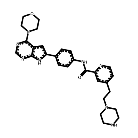 O=C(Nc1ccc(-c2cc3c(N4CCOCC4)ncnc3[nH]2)cc1)c1cc(CCN2CCNCC2)ccn1